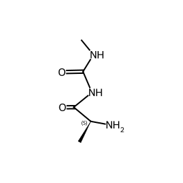 CNC(=O)NC(=O)[C@H](C)N